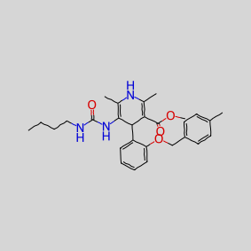 CCCCNC(=O)NC1=C(C)NC(C)=C(C(=O)OC)C1c1ccccc1OCc1ccc(C)cc1